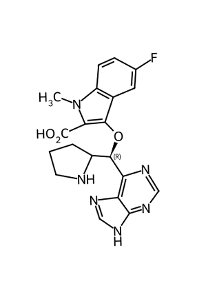 Cn1c(C(=O)O)c(O[C@@H](c2ncnc3[nH]cnc23)C2CCCN2)c2cc(F)ccc21